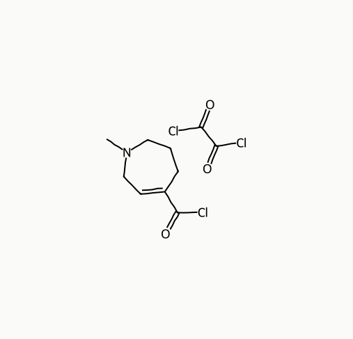 CN1CC=C(C(=O)Cl)CCC1.O=C(Cl)C(=O)Cl